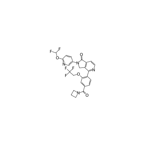 O=C(c1ccc(-c2nccc3c2CN(c2ccc(OC(F)F)nc2)C3=O)c(OCC(F)(F)F)c1)N1CCC1